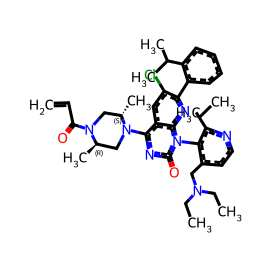 C=CC(=O)N1C[C@H](C)N(c2nc(=O)n(-c3c(CN(CC)CC)ccnc3C(C)C)c3nc(-c4ccccc4C(C)C)c(Cl)cc23)C[C@H]1C